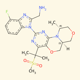 C[C@@H]1COC[C@H]2COc3c(nc(-n4c(CN)nc5c(F)cccc54)nc3C(C)(C)S(C)(=O)=O)N21